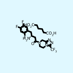 N[C@@H](CC(=O)N1CCn2c(nnc2C(F)(F)F)C1)Cc1cc(F)c(F)cc1F.O=C(O)CCCCC(=O)O